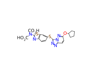 O=C(O)N(C(=O)O)c1nc2ccc(Sc3nnc4ccc(OC5CCCC5)nn34)cc2s1